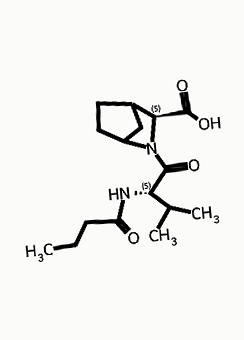 CCCC(=O)N[C@H](C(=O)N1C2CCC(C2)[C@H]1C(=O)O)C(C)C